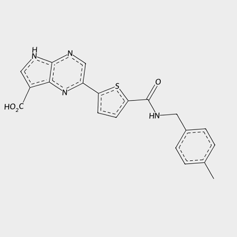 Cc1ccc(CNC(=O)c2ccc(-c3cnc4[nH]cc(C(=O)O)c4n3)s2)cc1